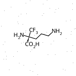 NCCC[C@@](N)(C(=O)O)C(F)(F)F